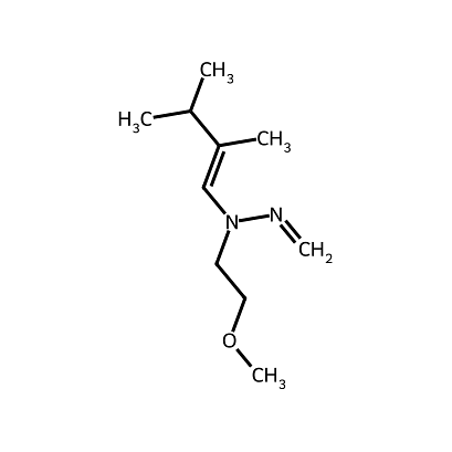 C=NN(/C=C(\C)C(C)C)CCOC